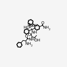 CC(O)C(NC(=O)C(N)Cc1ccccc1)C(=O)NC(c1ccccc1)(c1ccc(C(N)=O)cc1-c1ccccc1)P(=O)(O)O